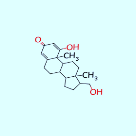 CC12C(O)=CC(=O)C=C1CCC1C2CCC2(C)C(CO)CCC12